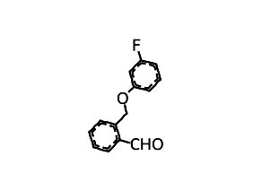 O=Cc1ccccc1COc1cccc(F)c1